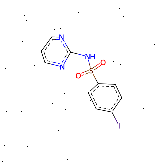 O=S(=O)(Nc1ncccn1)c1ccc(I)cc1